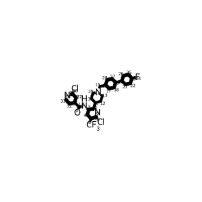 O=C(Nc1cc(C(F)(F)F)c(Cl)nc1C1CCN(Cc2ccc(-c3ccc(F)cc3)cc2)CC1)c1ccnc(Cl)c1